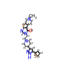 CN1CCc2c(sc3ncn(CCN4CCC(c5cc(-c6cccs6)[nH]n5)CC4)c(=O)c23)C1